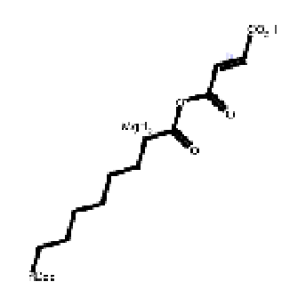 CCCCCCCCCCCCCCCCCC(=O)OC(=O)/C=C/C(=O)O.[MgH2]